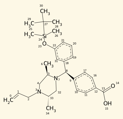 C=CCN1C[C@@H](C)N([C@H](c2ccc(C(=O)O)cc2)c2cccc(O[Si](C)(C)C(C)(C)C)c2)C[C@@H]1C